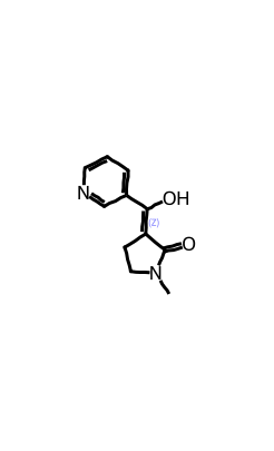 CN1CC/C(=C(/O)c2cccnc2)C1=O